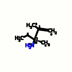 C=C(C)[C@@](C)(N)CC